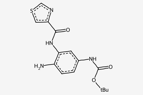 CC(C)(C)OC(=O)Nc1ccc(N)c(NC(=O)c2cscn2)c1